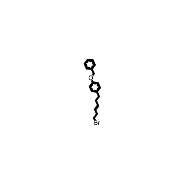 BrCCC=CCCc1ccc(OCc2ccccc2)cc1